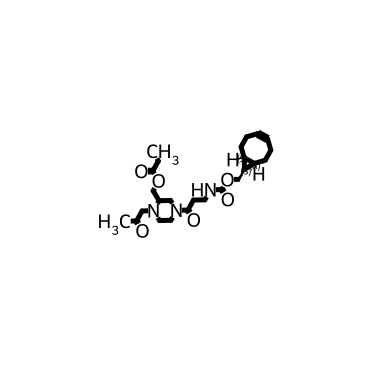 CCC(=O)OCC1CN(C(=O)CCNC(=O)OC[C@@H]2[C@@H]3CCC#CCC[C@@H]32)CCN1CC(C)=O